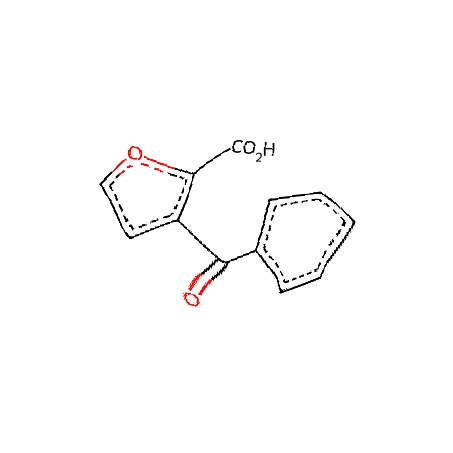 O=C(c1ccccc1)c1ccoc1C(=O)O